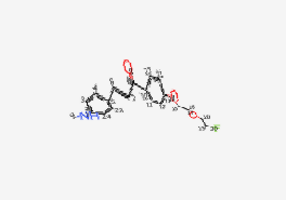 CNc1ccc(C=CC(=O)c2ccc(OCCOCCF)cc2)cc1